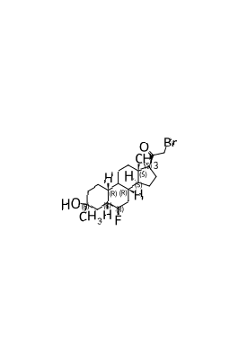 C[C@@]1(O)CC[C@@H]2C3CC[C@]4(C)[C@@H](C(=O)CBr)CC[C@H]4[C@@H]3C[C@@H](F)[C@@H]2C1